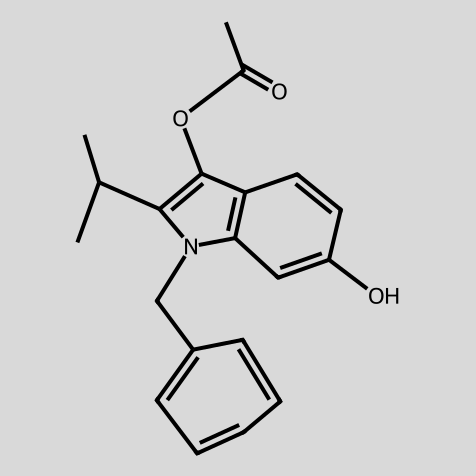 CC(=O)Oc1c(C(C)C)n(Cc2ccccc2)c2cc(O)ccc12